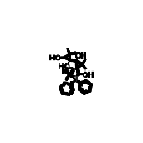 CC1(C)C(O)[C@]1(O)[C@]1(O)C(C)(C)[C@@]1(O)C(O)[Si](c1ccccc1)(c1ccccc1)C(C)(C)C